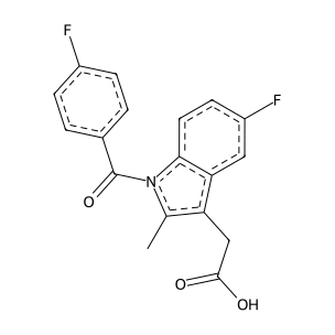 Cc1c(CC(=O)O)c2cc(F)ccc2n1C(=O)c1ccc(F)cc1